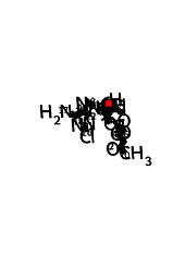 CC(=O)COP1(=O)OC[C@H]2O[C@@H](n3cnc4c(N)nc(Cl)nc43)C(O1)[C@H]2O